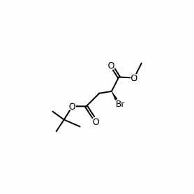 COC(=O)[C@@H](Br)CC(=O)OC(C)(C)C